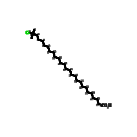 C[Si](C)(Cl)CCCCCCCCCCCCCCCCCCCCCCCCC(=O)O